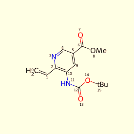 C=Cc1ncc(C(=O)OC)cc1NC(=O)OC(C)(C)C